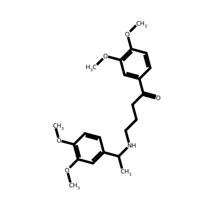 COc1ccc(C(=O)CCCNC(C)c2ccc(OC)c(OC)c2)cc1OC